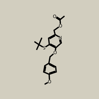 COc1ccc(COc2cnc(COC(C)=O)cc2SC(C)(C)C)cc1